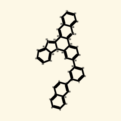 c1cc(-c2ccc3ccccc3c2)cc(-c2ccc3c4nc5ccccc5cc4c4nc5ccccc5n4c3c2)c1